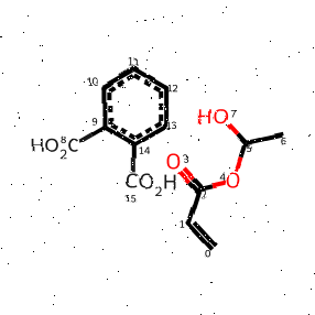 C=CC(=O)OC(C)O.O=C(O)c1ccccc1C(=O)O